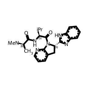 CN[C@H](C)C(=O)N[C@H](C(=O)N1c2ncccc2C[C@H]1c1nc2ccccc2[nH]1)C(C)C